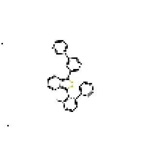 Cc1cccc(-c2ccccc2)c1-c1sc(-c2cccc(-c3ccccc3)c2)c2ccccc12